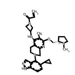 C=CC(=O)N1CC(Nc2c(C#N)c(OC[C@@H]3CCCN3C)nc3c2CCN(c2c(C4CC4)ccc4[nH]ncc24)C3)C1